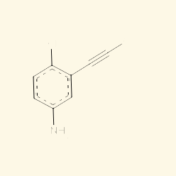 CC#Cc1cc(N)ccc1C